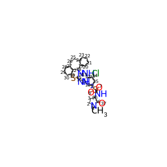 CN1CC[C@@H](NS(=O)(=O)c2cnc(NN(C(N)=S)C3c4ccccc4CCc4ccccc43)c(Cl)c2)C1=O